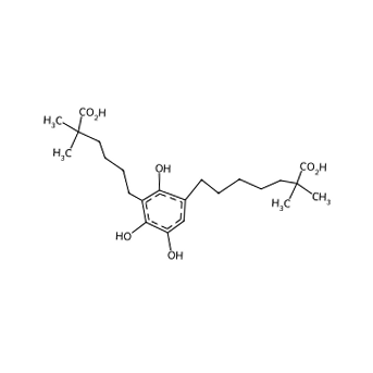 CC(C)(CCCCCc1cc(O)c(O)c(CCCCC(C)(C)C(=O)O)c1O)C(=O)O